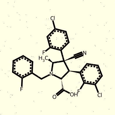 C[C@@H]1N(Cc2ccccc2F)[C@@H](C(=O)O)[C@H](c2cccc(Cl)c2F)[C@@]1(C#N)c1ccc(Cl)cc1F